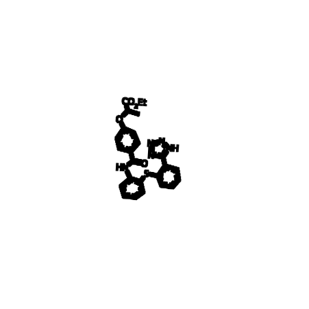 CCOC(=O)C(C)Oc1ccc(C(=O)Nc2ccccc2Sc2ccccc2-c2nnn[nH]2)cc1